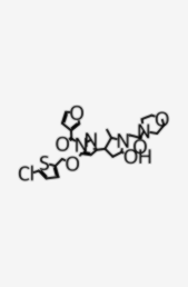 CC1C(c2cc(OCc3ccc(Cl)s3)n(C(=O)c3ccoc3)n2)CC(O)N1CC(=O)N1CCOCC1